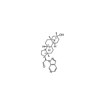 C[C@@]1(O)CC[C@]2(C)[C@H]3CC[C@]4(C)[C@@H](C(C=O)n5ncc6ccncc65)CC[C@H]4[C@@H]3CC[C@]2(C)C1